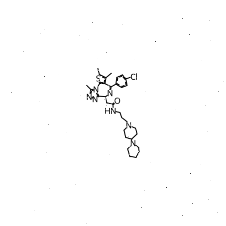 Cc1sc2c(c1C)C(c1ccc(Cl)cc1)=N[C@@H](CC(=O)NCCCN1CCC(N3CCCCC3)CC1)c1nnc(C)n1-2